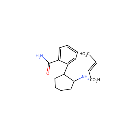 NC(=O)c1ccccc1C1CCCCC1N.O=C(O)C=CC(=O)O